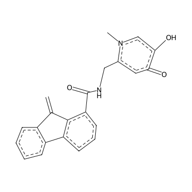 C=C1c2ccccc2-c2cccc(C(=O)NCc3cc(=O)c(O)cn3C)c21